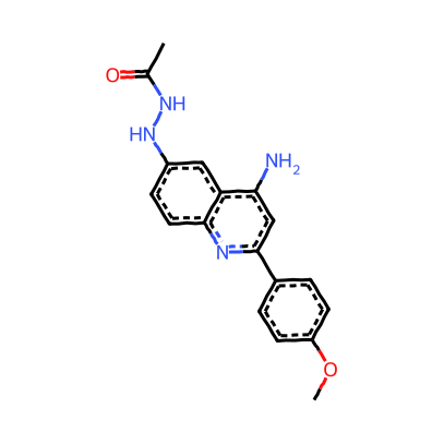 COc1ccc(-c2cc(N)c3cc(NNC(C)=O)ccc3n2)cc1